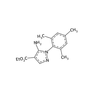 CCOC(=O)c1cnn(-c2c(C)cc(C)cc2C)c1N